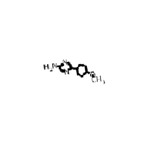 COC1CCC(c2cnc(N)cn2)CC1